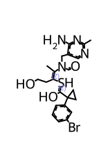 C/C(=C(CCO)/[SH]=C(\O)C1(c2cccc(Br)c2)CC1)N(C=O)Cc1cnc(C)nc1N